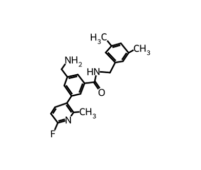 Cc1cc(C)cc(CNC(=O)c2cc(CN)cc(-c3ccc(F)nc3C)c2)c1